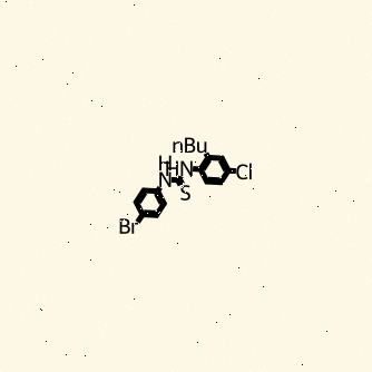 CCCCc1cc(Cl)ccc1NC(=S)Nc1ccc(Br)cc1